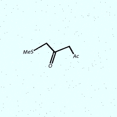 CSCC(=O)CC(C)=O